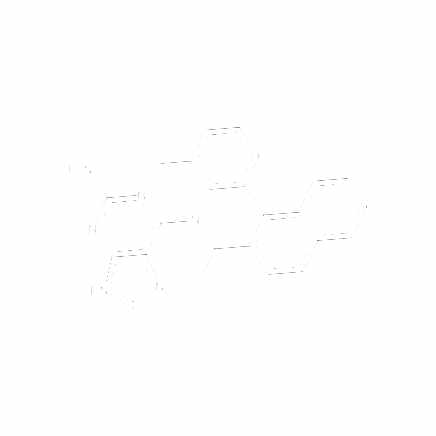 CC(Nc1nc(N)nc2[nH]cnc12)c1ccc2ccccc2c1-c1cccc(F)c1